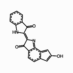 O=C1/C(=C2\N=c3c(ccc4c3=CC(O)=C4)C2=O)Nc2ccccc21